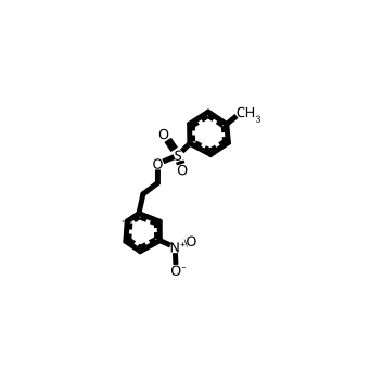 Cc1ccc(S(=O)(=O)OCCc2[c]ccc([N+](=O)[O-])c2)cc1